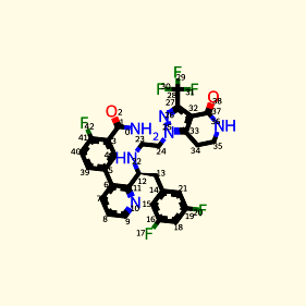 NC(=O)c1cc(-c2cccnc2[C@H](Cc2cc(F)cc(F)c2)NCCn2nc(C(F)(F)F)c3c2CCNC3=O)ccc1F